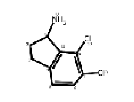 NC1CCc2ccc(Cl)c(Cl)c21